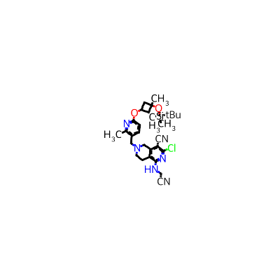 Cc1nc(OC2CC(C)(O[Si](C)(C)C(C)(C)C)C2)ccc1CN1CCc2c(NCC#N)nc(Cl)c(C#N)c2C1